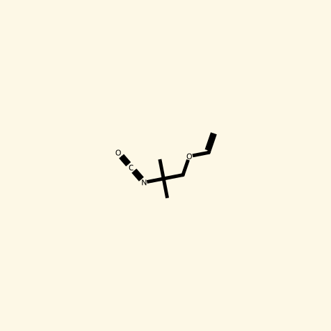 C=COCC(C)(C)N=C=O